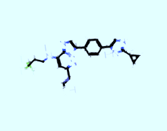 C/C=C/c1cc(NCCC(F)(F)F)c2ncc(-c3ccc(-c4cnc(C5CC5)[nH]4)cc3)n2n1